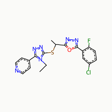 CCn1c(SC(C)c2nnc(-c3cc(Cl)ccc3F)o2)nnc1-c1ccncc1